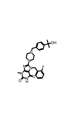 Cn1c(=O)[nH]c(=O)c2c1nc(N1CCN(Cc3ccc(C(C)(C)O)cc3)CC1)n2Cc1ccccc1F